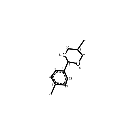 Cc1ccc(C2OCC(C)CO2)cc1